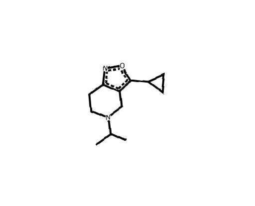 CC(C)N1CCc2noc(C3CC3)c2C1